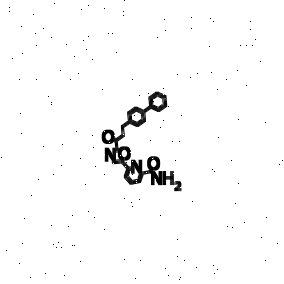 NC(=O)c1cccc(-c2cnc(C(=O)CCc3ccc(-c4ccccc4)cc3)o2)n1